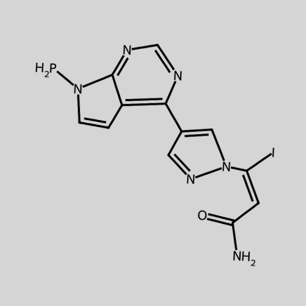 NC(=O)/C=C(/I)n1cc(-c2ncnc3c2ccn3P)cn1